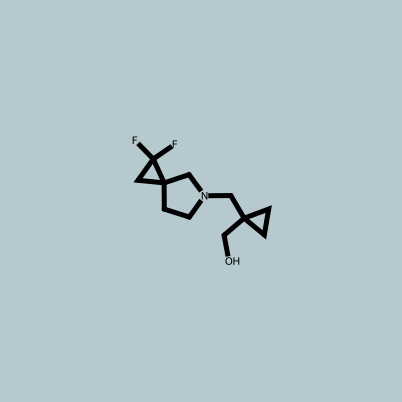 OCC1(CN2CCC3(C2)CC3(F)F)CC1